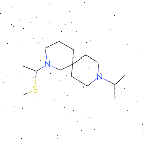 CSC(C)N1CCCC2(CCN(C(C)C)CC2)C1